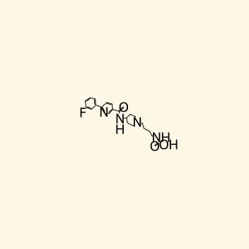 O=C(O)NCCCCN1CCC(NC(=O)c2ccc(-c3cccc(F)c3)nc2)CC1